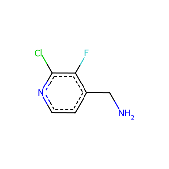 NCc1ccnc(Cl)c1F